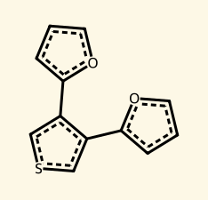 c1coc(-c2cscc2-c2ccco2)c1